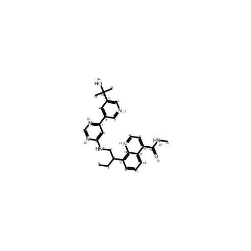 CCC(CNc1cc(-c2cncc(C(C)(C)O)c2)ncn1)c1cccc2c(C(=O)NC)ccnc12